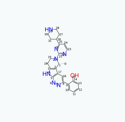 C[C@@H]1c2c([nH]c3nnc(-c4ccccc4O)cc23)CCN1c1nccc(C2CCNCC2)n1